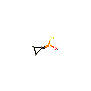 [O-][P+](S)=C1CC1